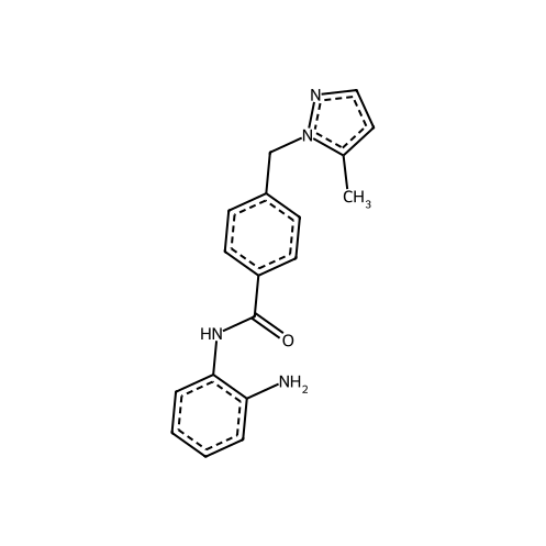 Cc1ccnn1Cc1ccc(C(=O)Nc2ccccc2N)cc1